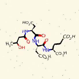 CC(O)CC(=O)N[C@@H](CC(=O)O)C(=O)N[C@@H](CC(=O)O)C(=O)N[C@@H](CCC(=O)O)C(=O)O